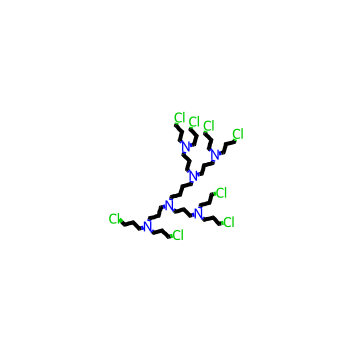 ClCCCN(CCCCl)CCCN(CCCCN(CCCN(CCCCl)CCCCl)CCCN(CCCCl)CCCCl)CCCN(CCCCl)CCCCl